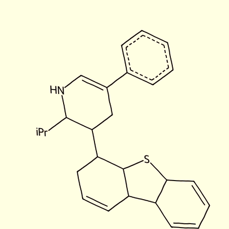 CC(C)C1NC=C(c2ccccc2)CC1C1CC=CC2C3C=CC=CC3SC21